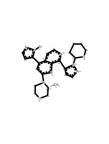 CCn1nccc1-c1cc(N2CCOC[C@H]2C)nc2c(-c3ccnn3C3CCCCO3)nccc12